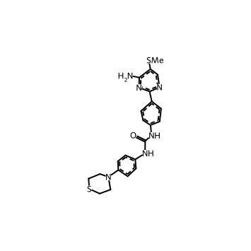 CSc1cnc(-c2ccc(NC(=O)Nc3ccc(N4CCSCC4)cc3)cc2)nc1N